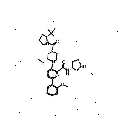 CC[C@@H]1CN(C(=O)N2CCC[C@H]2C(C)(C)C)CCN1c1ccc(-c2ccccc2OC)nc1C(=O)N[C@@H]1CCNC1